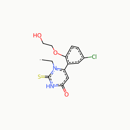 [CH2]Cn1c(-c2cc(Cl)ccc2OCCO)cc(=O)[nH]c1=S